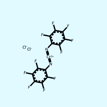 Fc1c(F)c(F)c([N]=[Cr+2]=[N]c2c(F)c(F)c(F)c(F)c2F)c(F)c1F.[Cl-].[Cl-]